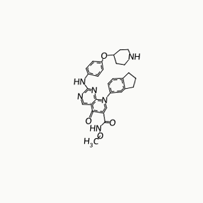 CONC(=O)c1cn(-c2ccc3c(c2)CCC3)c2nc(Nc3ccc(OC4CCNCC4)cc3)ncc2c1=O